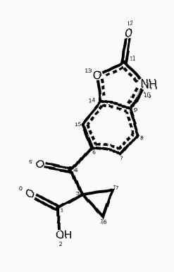 O=C(O)C1(C(=O)c2ccc3[nH]c(=O)oc3c2)CC1